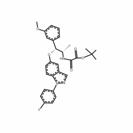 COc1cccc([C@@H](Oc2ccc3c(cnn3-c3ccc(F)cc3)c2)[C@H](C)NC(=O)C(=O)OC(C)(C)C)c1